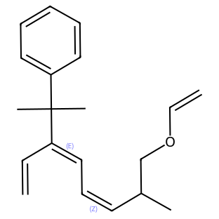 C=COCC(C)/C=C\C=C(/C=C)C(C)(C)c1ccccc1